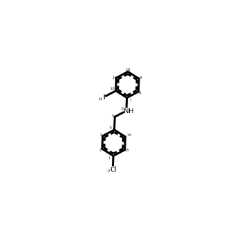 Clc1ccc(CNc2ccccc2I)cc1